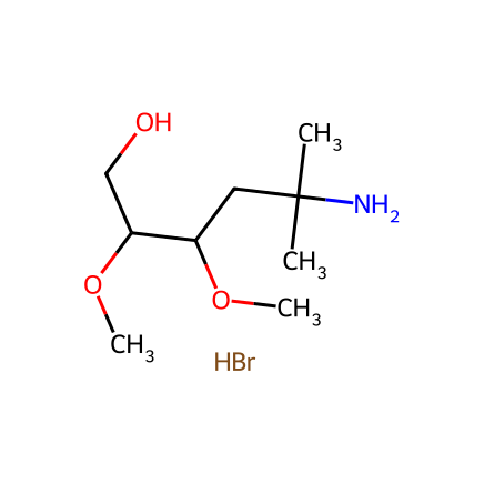 Br.COC(CO)C(CC(C)(C)N)OC